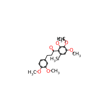 COc1ccc(CCC(=O)c2c([SiH3])cc(OC)c(OC)c2OC)cc1OC